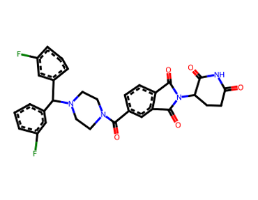 O=C1CCC(N2C(=O)c3ccc(C(=O)N4CCN(C(c5cccc(F)c5)c5cccc(F)c5)CC4)cc3C2=O)C(=O)N1